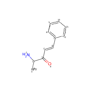 [CH2]CCC(N)C(=O)C=Cc1ccccc1